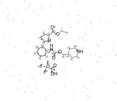 CCOC(=O)c1csc(-c2ccccc2NC(=O)OCC2CCNCC2)n1.O=C(O)C(F)(F)F